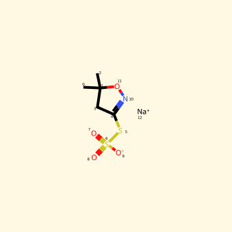 CC1(C)CC(SS(=O)(=O)[O-])=NO1.[Na+]